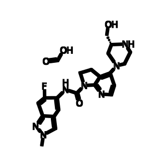 Cn1cc2cc(NC(=O)N3CCc4c(N5CCN[C@@H](CO)C5)ccnc43)c(F)cc2n1.O=CO